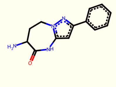 NC1CCn2nc(-c3ccccc3)cc2NC1=O